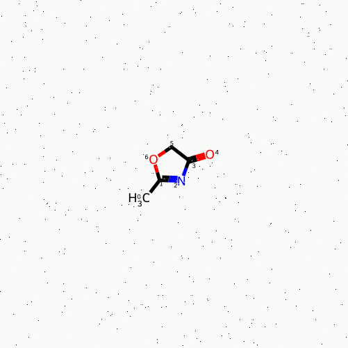 CC1=NC(=O)CO1